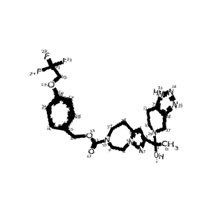 CC(O)(c1cc2n(n1)CCN(C(=O)OCc1ccc(OCC(F)(F)F)cc1)CC2)N1CCc2[nH]nnc2C1